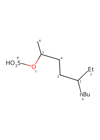 CCCCC(CC)CCC(C)OS(=O)(=O)O